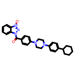 O=C(c1ccc(N2CCN(c3ccc(C4CCCCC4)cc3)CC2)cc1)n1n[n+]([O-])c2ccccc21